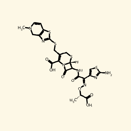 C[C@H](O/N=C(\C(=O)NC1C(=O)N2C(C(=O)O)=C(CSc3nc4c(s3)C=CN(C)C4)CS[C@H]12)c1csc(N)n1)C(=O)O